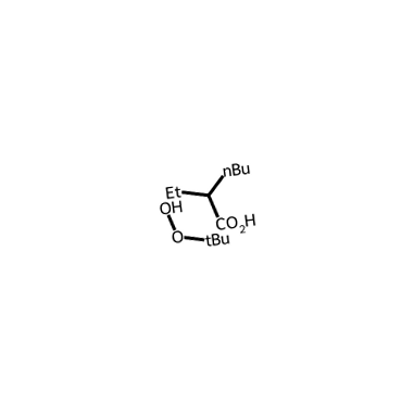 CC(C)(C)OO.CCCCC(CC)C(=O)O